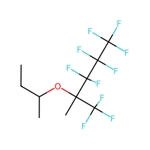 CCC(C)OC(C)(C(F)(F)F)C(F)(F)C(F)(F)C(F)(F)F